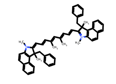 CC(=C\C=C\C1=[N+](C)c2ccc3ccccc3c2C1(C)Cc1ccccc1)/C=C(C)/C=C/C=C1/N(C)c2ccc3ccccc3c2C1(C)Cc1ccccc1